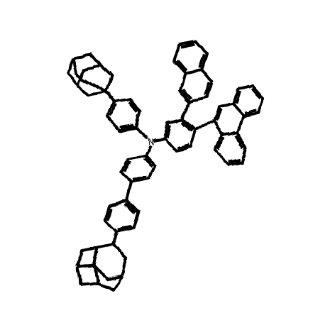 c1ccc2cc(-c3cc(N(c4ccc(-c5ccc(C67CC8CC9CC(C6)C9(C8)C7)cc5)cc4)c4ccc(C56CC7CC(CC(C7)C5)C6)cc4)ccc3-c3cc4ccccc4c4ccccc34)ccc2c1